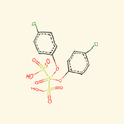 O=S(=O)(O)S(=O)(Oc1ccc(Cl)cc1)(Oc1ccc(Cl)cc1)S(=O)(=O)O